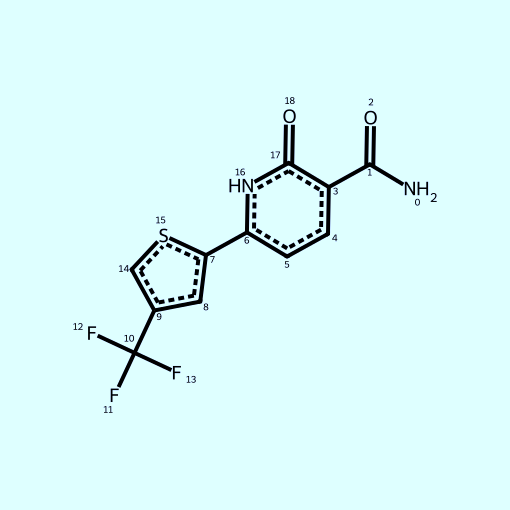 NC(=O)c1ccc(-c2cc(C(F)(F)F)cs2)[nH]c1=O